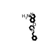 Nc1nccc2cc(OC3CCCN(CCc4ccccc4)C3)ccc12